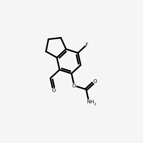 NC(=O)Oc1cc(F)c2c(c1C=O)CCC2